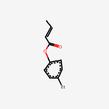 [CH2]Cc1ccc(OC(=O)C=CC)cc1